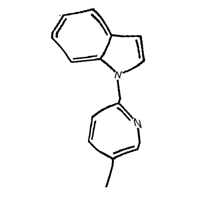 Cc1ccc(-n2ccc3c[c]ccc32)nc1